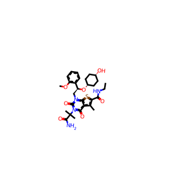 CCNC(=O)c1sc2c(c1C)c(=O)n(C(C)(C)C(N)=O)c(=O)n2C[C@H](O[C@H]1CC[C@@H](O)CC1)c1ccccc1OC